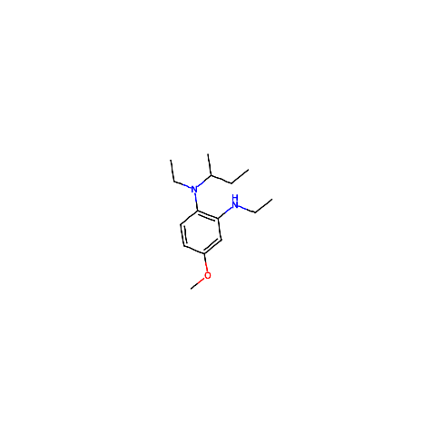 CCNc1cc(OC)ccc1N(CC)C(C)CC